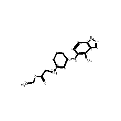 CCOC(=O)CN[C@H]1CCC[C@@H](Oc2ccc3[nH]ncc3c2C)C1